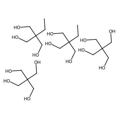 CCC(CO)(CO)CO.CCC(CO)(CO)CO.OCC(CO)(CO)CO.OCC(CO)(CO)CO